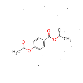 [CH2]C(=O)Oc1ccc(C(=O)OC(C)C)cc1